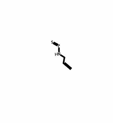 C=CCNP=S